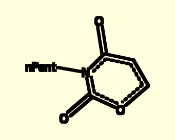 CCCCCn1c(=O)ccoc1=O